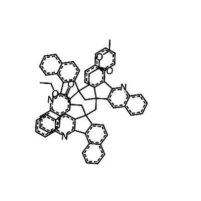 CCOC(=O)CCC1(CC2(CC3(CCC(=O)OCC)c4cc5ccccc5nc4-c4c3ccc3ccccc43)c3cc4ccccc4nc3-c3c2ccc2ccccc32)c2cc3ccccc3nc2-c2c1ccc1ccccc21